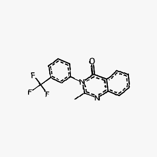 Cc1nc2ccccc2c(=O)n1-c1cccc(C(F)(F)F)c1